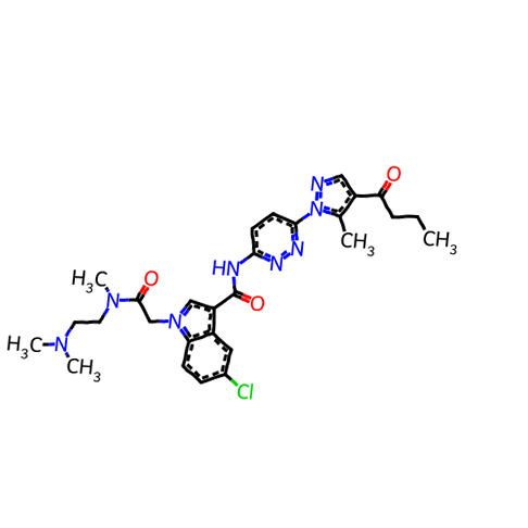 CCCC(=O)c1cnn(-c2ccc(NC(=O)c3cn(CC(=O)N(C)CCN(C)C)c4ccc(Cl)cc34)nn2)c1C